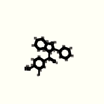 Cc1cc(C(=O)c2c(-c3ccccc3)oc3ccccc23)ccc1O